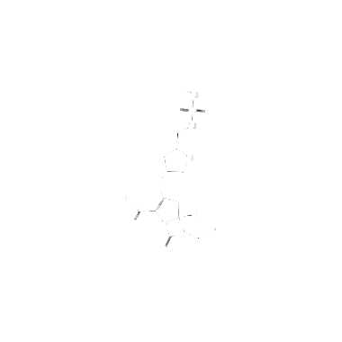 CNS(=O)(=O)NC[C@@H]1C[C@H](SC2=C(C(=O)O)N3C(=O)[C@H]([C@@H](C)O)[C@H]3[C@H]2C)CN1